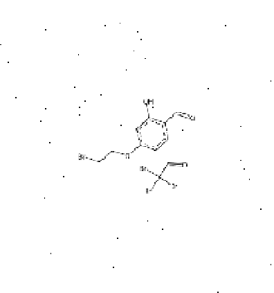 O=CC(Br)(Br)Br.O=Cc1ccc(OCCBr)cc1O